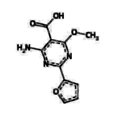 COc1nc(-c2ccco2)nc(N)c1C(=O)O